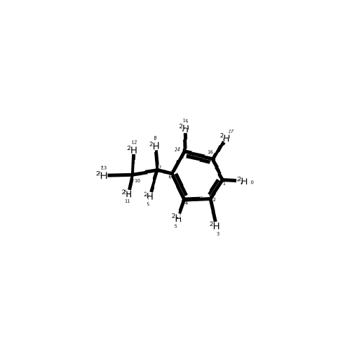 [2H]c1c([2H])c([2H])c(C([2H])([2H])C([2H])([2H])[2H])c([2H])c1[2H]